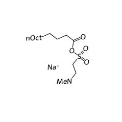 CCCCCCCCCCCC(=O)OS(=O)(=O)CC[N-]C.[Na+]